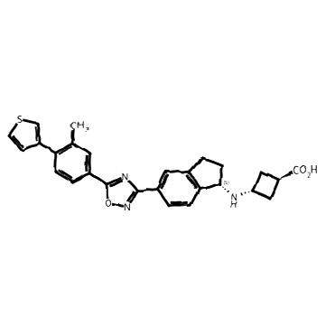 Cc1cc(-c2nc(-c3ccc4c(c3)CC[C@@H]4N[C@H]3C[C@H](C(=O)O)C3)no2)ccc1-c1ccsc1